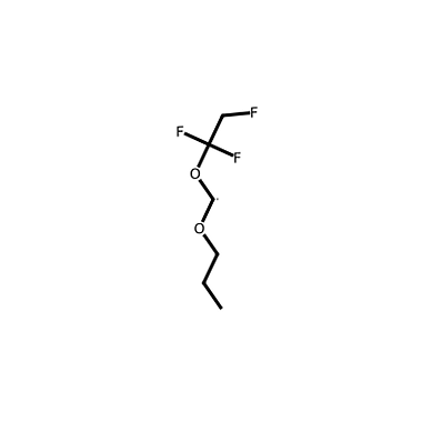 CCCO[CH]OC(F)(F)CF